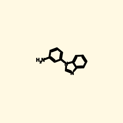 Nc1cccc(-n2cnc3ccccc32)c1